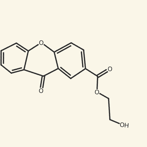 O=C(OCCO)c1ccc2oc3ccccc3c(=O)c2c1